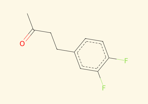 CC(=O)CCc1ccc(F)c(F)c1